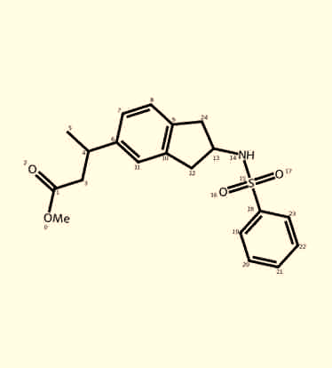 COC(=O)CC(C)c1ccc2c(c1)CC(NS(=O)(=O)c1ccccc1)C2